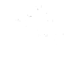 CC(C)OC(=O)[C@H](C)NP(=O)(OC[C@@]1(C)O[C@@H](n2ccc(=S)[nH]c2=O)[C@@H](O)[C@H]1O)Oc1ccccc1